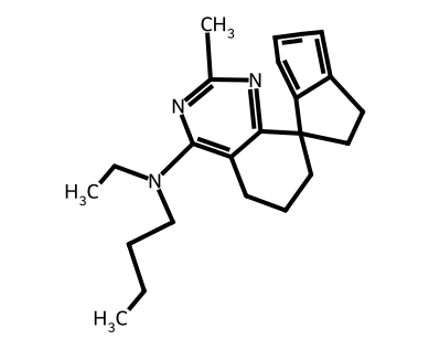 CCCCN(CC)c1nc(C)nc2c1CCCC21CCc2ccccc21